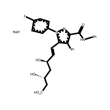 CC(C)NC(=O)c1nn(-c2ccc(F)cc2)c(C=C[C@H](O)C[C@@H](O)CC(=O)O)c1C(C)C.[NaH]